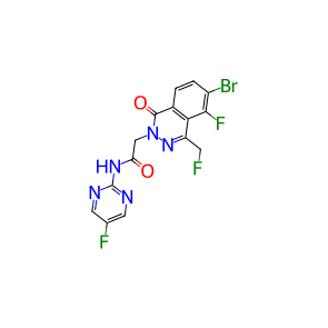 O=C(Cn1nc(CF)c2c(F)c(Br)ccc2c1=O)Nc1ncc(F)cn1